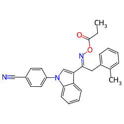 CCC(=O)O/N=C(\Cc1ccccc1C)c1cn(-c2ccc(C#N)cc2)c2ccccc12